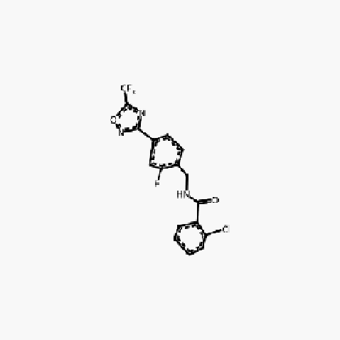 O=C(NCc1ccc(-c2noc(C(F)(F)F)n2)cc1F)c1ccccc1Cl